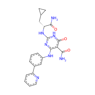 NC(=O)c1c(Nc2cccc(-c3ccccn3)c2)nc(N[C@H](CC2CC2)C(N)=O)[nH]c1=O